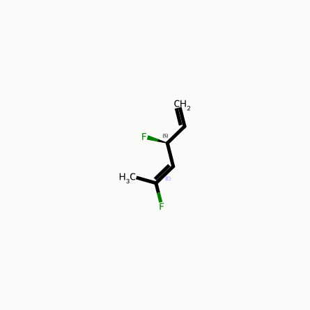 C=C[C@H](F)/C=C(\C)F